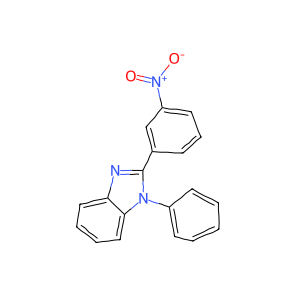 O=[N+]([O-])c1cccc(-c2nc3ccccc3n2-c2ccccc2)c1